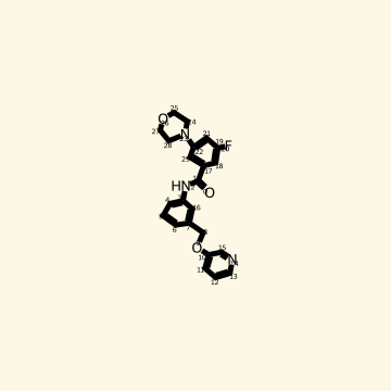 O=C(Nc1cccc(COc2cccnc2)c1)c1cc(F)cc(N2CCOCC2)c1